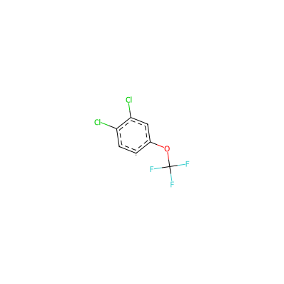 FC(F)(F)Oc1[c]cc(Cl)c(Cl)c1